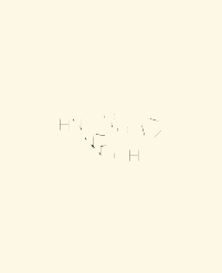 Cl.O=C(OCc1ccccc1)c1cnn2c1CNCC2